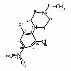 CCN1CCN(c2c(F)cc([N+](=O)[O-])cc2Cl)CC1